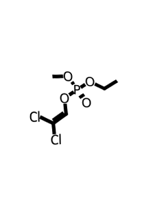 CCOP(=O)(OC)OC=C(Cl)Cl